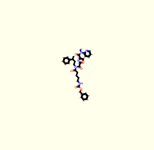 CC(CCN(C(=O)CCCCNC(=O)OCc1ccccc1)C(=O)c1nc(C(=O)N(C)c2ccccn2)co1)c1ccccc1